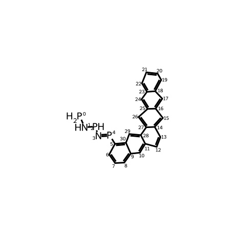 PNP/N=P/c1cccc2cc3ccc4cc5cc6ccccc6cc5cc4c3cc12